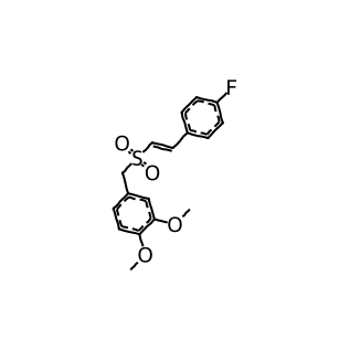 COc1ccc(CS(=O)(=O)C=Cc2ccc(F)cc2)cc1OC